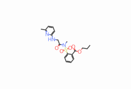 CCCOC(=O)c1ccccc1S(=O)(=O)N(C)C(=O)CNc1cccc(C)n1